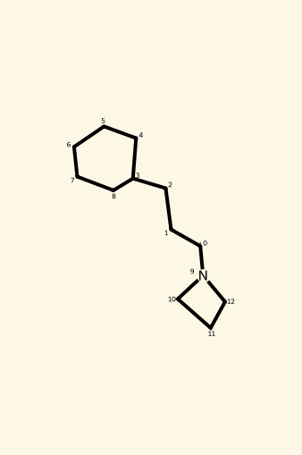 [CH](CCC1CCCCC1)N1CCC1